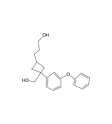 OCCCC1CC(CO)(c2cccc(Oc3ccccc3)c2)C1